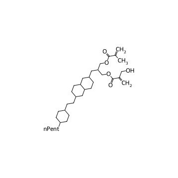 C=C(C)C(=O)OCC(COC(=O)C(=C)CO)CC1CCC2CC(CCC3CCC(CCCCC)CC3)CCC2C1